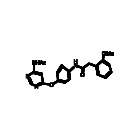 COc1ccccc1CC(=O)Nc1ccc(Oc2cc(NC(C)=O)ncn2)cc1